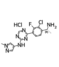 C[C@@H](N)c1ccc(-c2ncnc(Nc3cnn(C)c3)n2)c(F)c1Cl.Cl